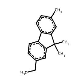 CCc1ccc2c(c1)C(C)(C)c1cc(C)ccc1-2